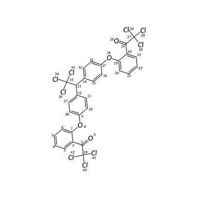 O=C(c1ccccc1Oc1ccc(C(c2ccc(Oc3ccccc3C(=O)C(Cl)(Cl)Cl)cc2)C(Cl)(Cl)Cl)cc1)C(Cl)(Cl)Cl